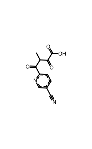 CC(C(=O)C(=O)O)C(=O)c1ccc(C#N)cn1